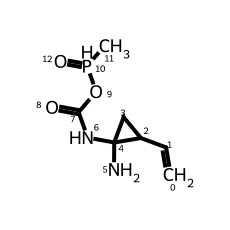 C=CC1CC1(N)NC(=O)O[PH](C)=O